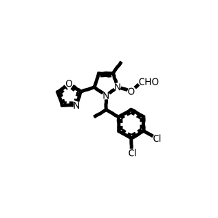 CC1=CC(c2ncco2)N(C(C)c2ccc(Cl)c(Cl)c2)N1OC=O